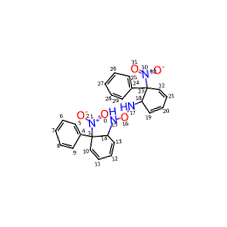 O=[N+]([O-])C1(c2ccccc2)C=CC=CC1NONC1C=CC=CC1(c1ccccc1)[N+](=O)[O-]